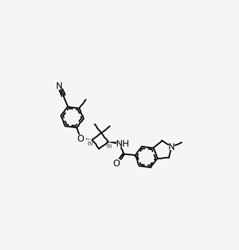 Cc1cc(O[C@H]2C[C@H](NC(=O)c3ccc4c(c3)CN(C)C4)C2(C)C)ccc1C#N